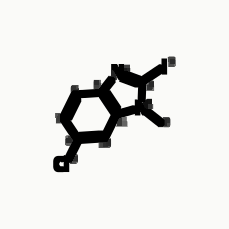 Cn1c(I)nc2ccc(Cl)cc21